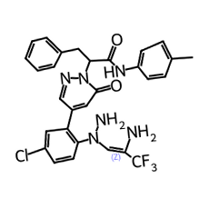 Cc1ccc(NC(=O)C(Cc2ccccc2)n2ncc(-c3cc(Cl)ccc3N(N)/C=C(\N)C(F)(F)F)cc2=O)cc1